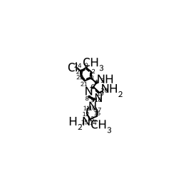 Cc1cc(C(=N)c2ncc(N3CCC(C)(N)CC3)nc2N)ccc1Cl